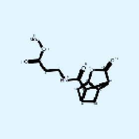 CC(C)(C)OC(=O)CCNC(=O)C1C2CC3OC(=O)C1C3C2